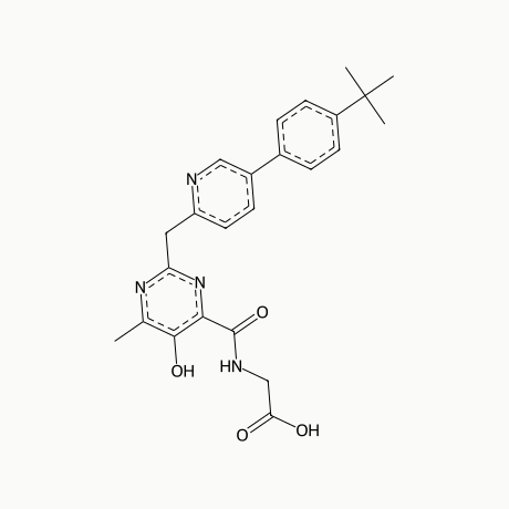 Cc1nc(Cc2ccc(-c3ccc(C(C)(C)C)cc3)cn2)nc(C(=O)NCC(=O)O)c1O